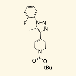 Cc1c(C2=CCN(C(=O)OC(C)(C)C)CC2)nnn1-c1ccccc1F